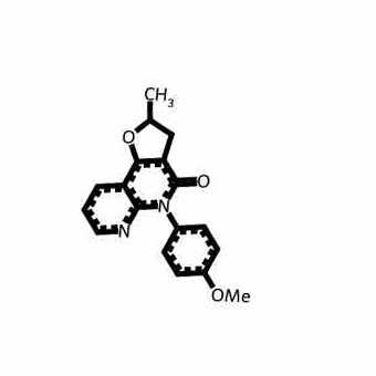 COc1ccc(-n2c(=O)c3c(c4cccnc42)OC(C)C3)cc1